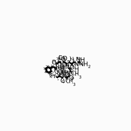 CC(C)C[C@H](N)C(=O)N[C@@H](C)C(=O)N[C@@H](C)C(=O)N[C@@H](CCCNC(=N)N)C(=O)N[C@@H](CC(=O)O)C(=O)N[C@@H](Cc1ccccc1)C(=O)O